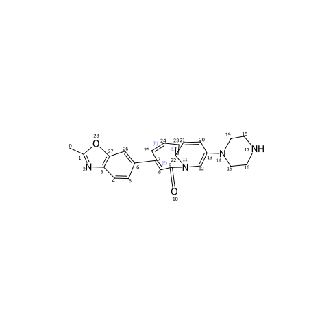 Cc1nc2ccc(C3=C\C(=O)N4C=C(N5CCNCC5)C=C\C4=C/C=C/3)cc2o1